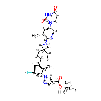 Cc1cc(N2CCC(=O)NC2=O)cnc1N1CC2(CCC(c3cc(F)cc(-n4cc(C(=O)OC(C)(C)C)cn4)c3C)CC2)C1